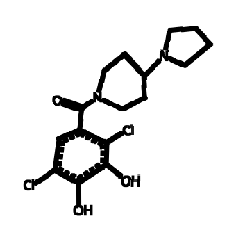 O=C(c1cc(Cl)c(O)c(O)c1Cl)N1CCC(N2CCCC2)CC1